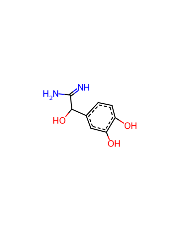 N=C(N)C(O)c1ccc(O)c(O)c1